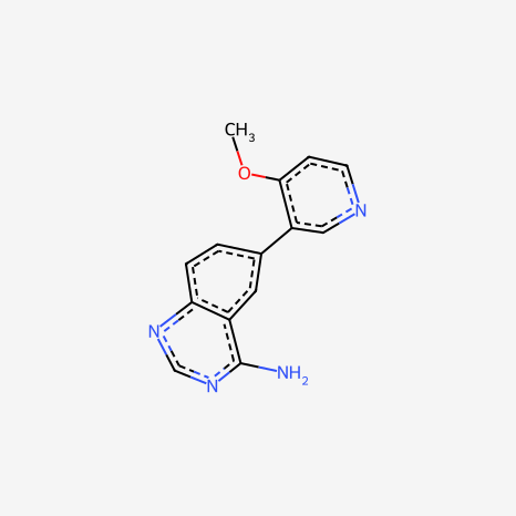 COc1ccncc1-c1ccc2ncnc(N)c2c1